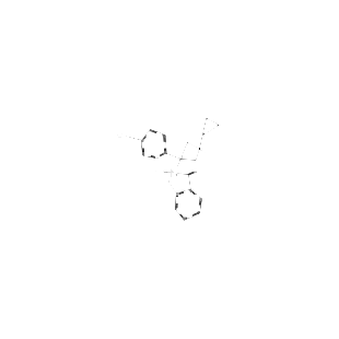 O=C1c2ccccc2C[N+]1([O-])C1(c2ccc(Br)cc2)CC(O)(C2CC2)C1